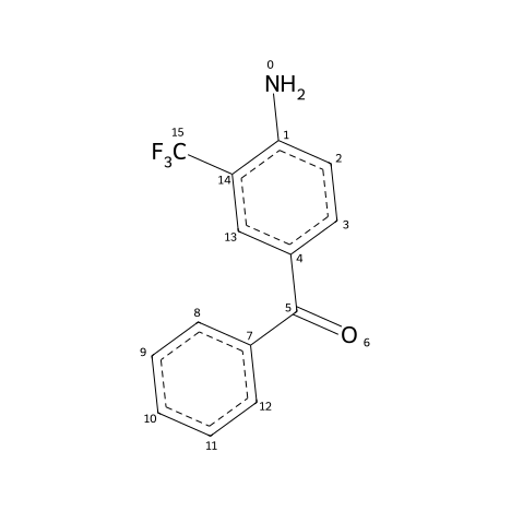 Nc1ccc(C(=O)c2ccccc2)cc1C(F)(F)F